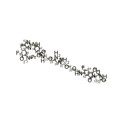 CC(C)N1CCOc2c(F)cc(-c3nc(Nc4ccc(S(=O)(=O)NCCOC/C(N)=C/N(N)CCOCCOCCNc5cc6c(cc5F)C(=O)N(C5CCC(=O)NC5=O)C6=O)cc4)ncc3F)cc21